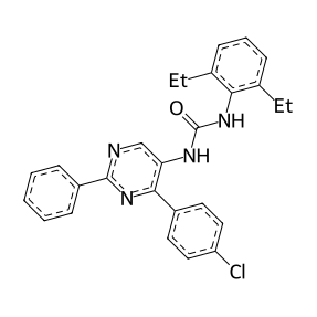 CCc1cccc(CC)c1NC(=O)Nc1cnc(-c2ccccc2)nc1-c1ccc(Cl)cc1